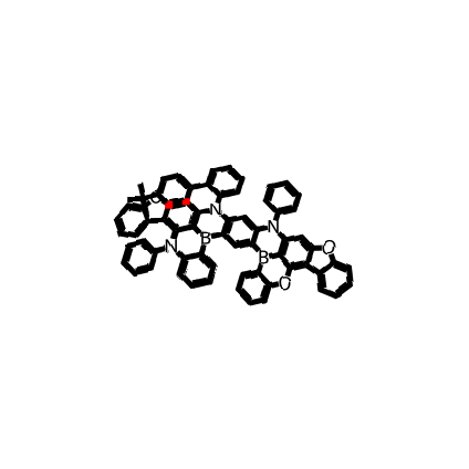 CC(C)(C)c1ccc(-c2ccccc2N2c3cc4c(cc3B3c5ccccc5N(c5ccccc5)c5c3c2cc2oc3ccccc3c52)B2c3ccccc3Oc3c2c(cc2oc5ccccc5c32)N4c2ccccc2)cc1